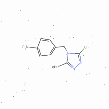 CCCCc1nnc(Cl)n1Cc1ccc([N+](=O)[O-])cc1